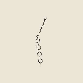 [CH2+][CH-]CCCOCCCCOc1ccc(C2CCC(C3CCC(c4ccc(C)cc4)CC3)CC2)cc1